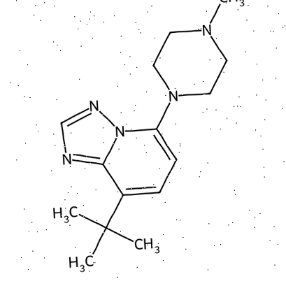 CN1CCN(c2ccc(C(C)(C)C)c3ncnn23)CC1